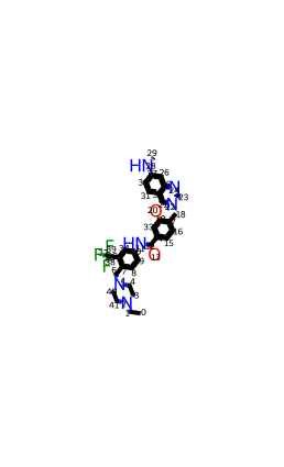 CCN1CCN(Cc2ccc(NC(=O)c3ccc(C)c(Oc4ncnc5cc(NC)ccc45)c3)cc2C(F)(F)F)CC1